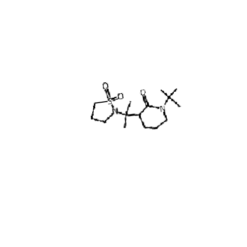 CC(C)(C)N1CCCC(C(C)(C)N2CCCS2(=O)=O)C1=O